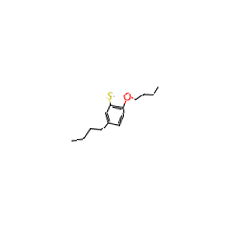 CCCCOc1ccc(CCCC)cc1[S]